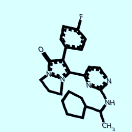 CC(Nc1nccc(-c2c(-c3ccc(F)cc3)c(=O)n3n2CCC3)n1)C1CCCCC1